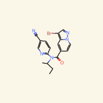 CCC(C)N(C(=O)c1ccn2ncc(Br)c2c1)c1ccc(C#N)cn1